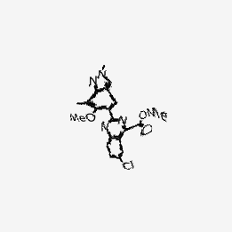 COC(=O)c1nc(-c2cc3cn(C)nc3c(C)c2OC)nc2ccc(Cl)cc12